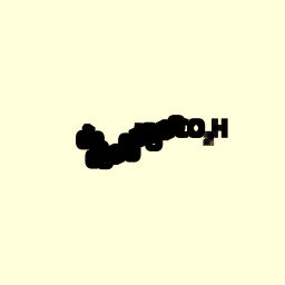 C=CC(=O)OCOC(=O)Oc1ccc(C(=O)Oc2ccc(OC(=O)c3ccc(OC(=O)O)cc3)c(C)c2)cc1